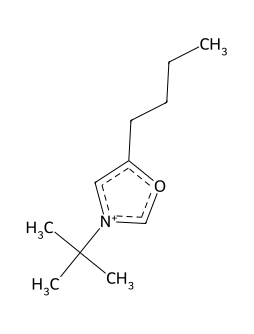 CCCCc1c[n+](C(C)(C)C)co1